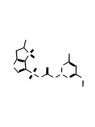 COC1=NN(NC(=O)NS(=O)(=O)c2csc3c2S(=O)(=O)C(C)C3)NC(C)=C1